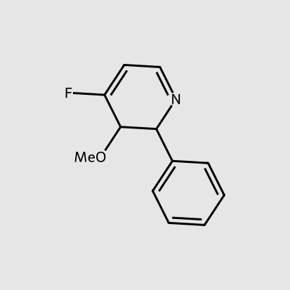 COC1C(F)=CC=NC1c1ccccc1